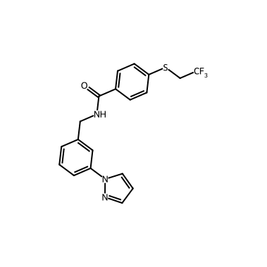 O=C(NCc1cccc(-n2cccn2)c1)c1ccc(SCC(F)(F)F)cc1